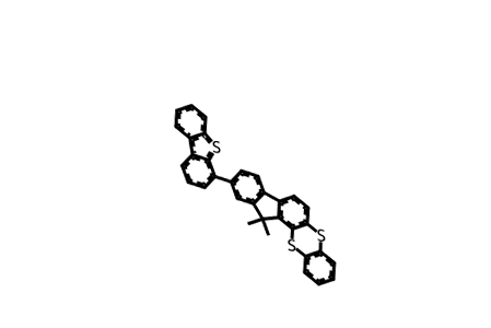 CC1(C)c2cc(-c3cccc4c3sc3ccccc34)ccc2-c2ccc3c(c21)Sc1ccccc1S3